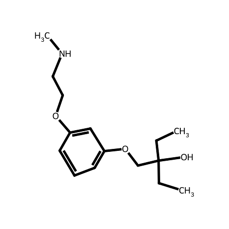 CCC(O)(CC)COc1cccc(OCCNC)c1